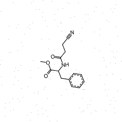 COC(=O)C(Cc1ccccc1)NC(=O)CCC#N